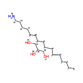 CCCCCCCCCCCCCCCCN.OCC(O)CO